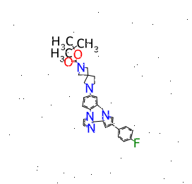 CC(C)(C)OC(=O)N1CC2(CCN(c3ccc4c(c3)Cn3cc(-c5ccc(F)cc5)cc3-c3nccn3-4)C2)C1